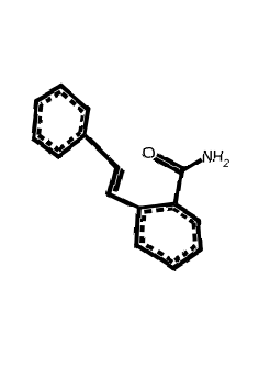 NC(=O)c1ccccc1/C=C/c1ccccc1